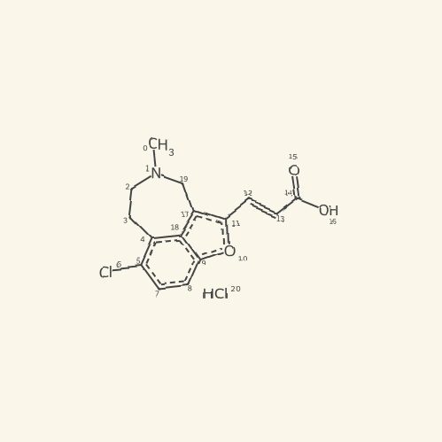 CN1CCc2c(Cl)ccc3oc(C=CC(=O)O)c(c23)C1.Cl